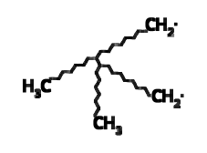 [CH2]CCCCCCCCC(CCCCCCCC)C(CCCCCCCC)CCCCCCCC[CH2]